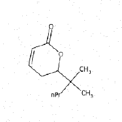 CCCC(C)(C)C1CC=CC(=O)O1